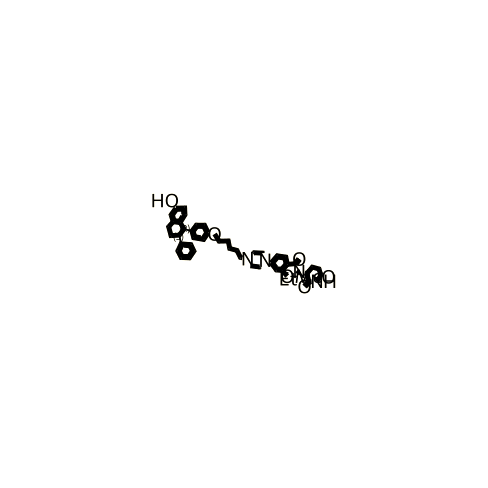 CCN(C(=O)c1ccc(N2CCN(CCCCCOc3ccc([C@@H]4c5ccc(O)cc5CC[C@@H]4c4ccccc4)cc3)CC2)cc1OC)C1CCC(=O)NC1=O